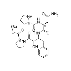 CC(C)(C)OC(=O)[C@@H]1CCCN1C(=O)C(O)C(Cc1ccccc1)NC(=O)[C@H](CC(N)=O)NC(=O)[C@@H]1CCCN1